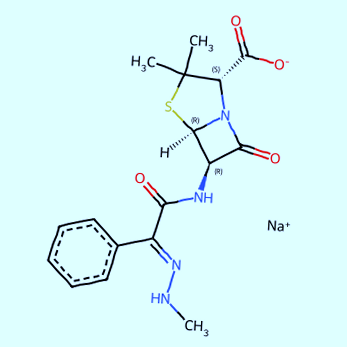 CNN=C(C(=O)N[C@@H]1C(=O)N2[C@@H]1SC(C)(C)[C@@H]2C(=O)[O-])c1ccccc1.[Na+]